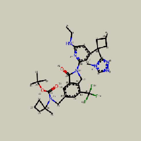 CCNc1cc(C2(c3nncn3C)CC(C)C2)cc(N2Cc3c(cc(CN(C(=O)OC(C)(C)C)C4(C)CCC4)cc3C(F)(F)F)C2=O)n1